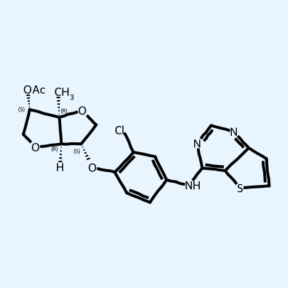 CC(=O)O[C@H]1CO[C@@H]2[C@@H](Oc3ccc(Nc4ncnc5ccsc45)cc3Cl)CO[C@]12C